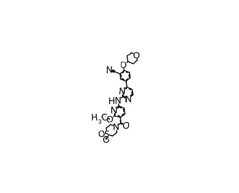 COc1nc(Nc2nccc(-c3ccc(OC4CCOCC4)c(C#N)c3)n2)ccc1C(=O)N1CCS(=O)(=O)CC1